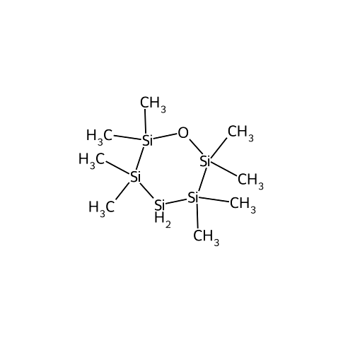 C[Si]1(C)O[Si](C)(C)[Si](C)(C)[SiH2][Si]1(C)C